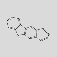 c1cc2cc3oc4ccncc4c3cc2cn1